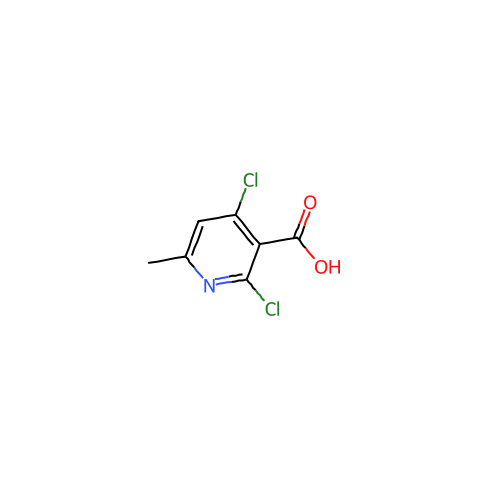 Cc1cc(Cl)c(C(=O)O)c(Cl)n1